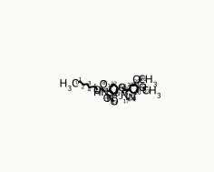 CCCCCCOC(=O)Nc1ccc(Oc2ncnc3cc(OC)c(OC)cc23)cc1[N+](=O)[O-]